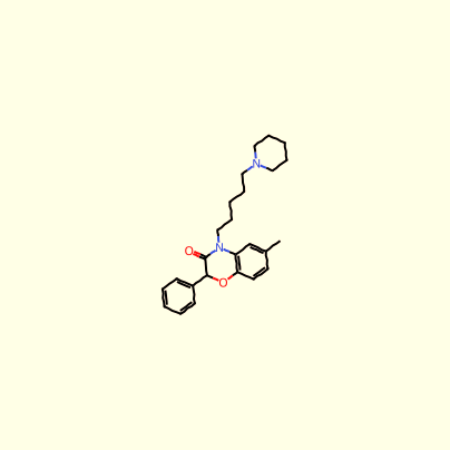 Cc1ccc2c(c1)N(CCCCCN1CCCCC1)C(=O)C(c1ccccc1)O2